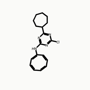 Clc1nc(NC2=C/C=C\C=C/C=C\2)nc(C2CCCCCC2)n1